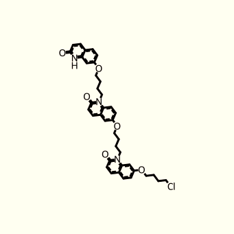 O=c1ccc2ccc(OCCCCn3c(=O)ccc4cc(OCCCCn5c(=O)ccc6ccc(OCCCCCl)cc65)ccc43)cc2[nH]1